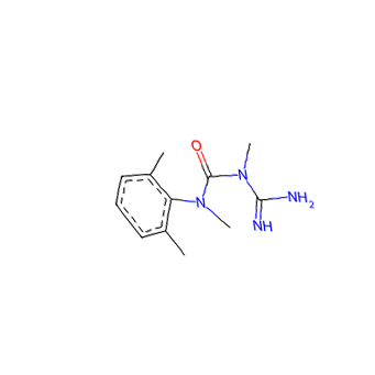 Cc1cccc(C)c1N(C)C(=O)N(C)C(=N)N